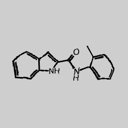 Cc1ccccc1NC(=O)c1cc2ccccc2[nH]1